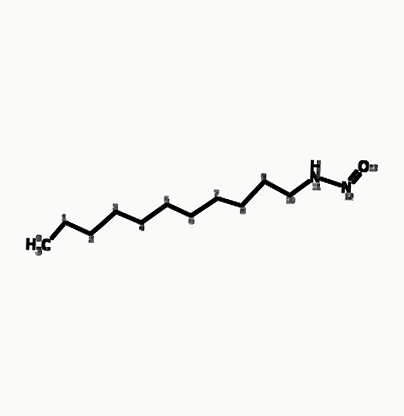 CCCCCCCCCCCNN=O